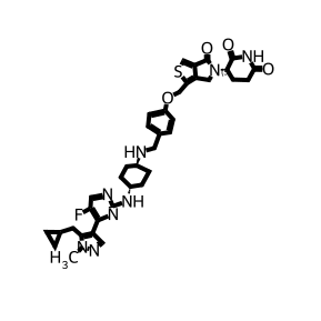 Cn1ncc(-c2nc(N[C@H]3CC[C@H](NCc4ccc(OCc5scc6c5CN([C@H]5CCC(=O)NC5=O)C6=O)cc4)CC3)ncc2F)c1CC1CC1